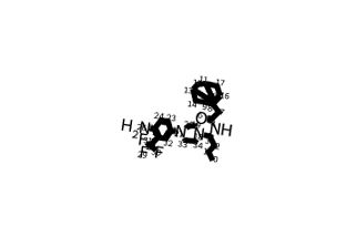 CCCC(NC(=O)CC1C2CC3CC(C2)CC1C3)N1CCN(c2ccc(N)c(C(F)(F)F)c2)CC1